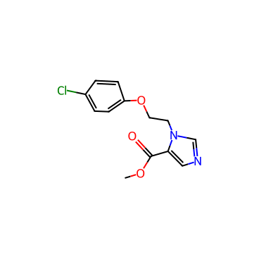 COC(=O)c1cncn1CCOc1ccc(Cl)cc1